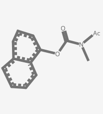 CC(=O)N(C)C(=O)Oc1cccc2ccccc12